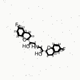 OC(CNCC(O)[C@H]1CCc2cc(F)ccc2O1)[C@H]1CCc2cc(F)ccc2O1